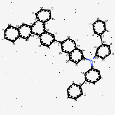 c1ccc(-c2cccc(N(c3cccc(-c4ccccc4)c3)c3ccc4cc(-c5ccc6c(c5)c5ccccc5c5cc7ccccc7cc65)ccc4c3)c2)cc1